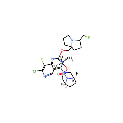 CC(C)(C)OC(=O)N1[C@@H]2CC[C@H]1CN(c1nc(OCC34CCCN3C(CF)CC4)nc3c(F)c(Cl)ncc13)C2